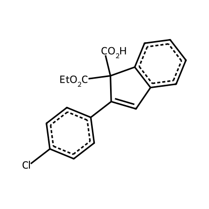 CCOC(=O)C1(C(=O)O)C(c2ccc(Cl)cc2)=Cc2ccccc21